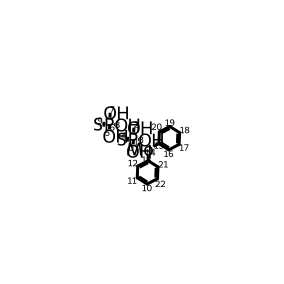 OP(O)(O)=S.OP(O)(O)=S.c1cc[c]([Mo][c]2ccccc2)cc1